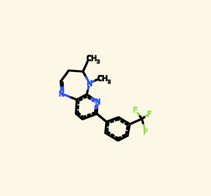 CC1CC=Nc2ccc(-c3cccc(C(F)(F)F)c3)nc2N1C